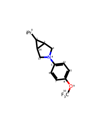 CC(C)C1C2CN(c3ccc(OC(F)(F)F)cc3)CC21